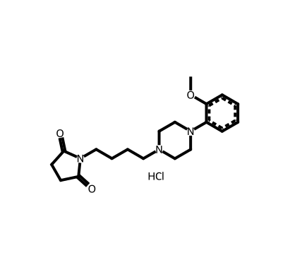 COc1ccccc1N1CCN(CCCCN2C(=O)CCC2=O)CC1.Cl